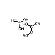 OOB(O)O.OP(O)O